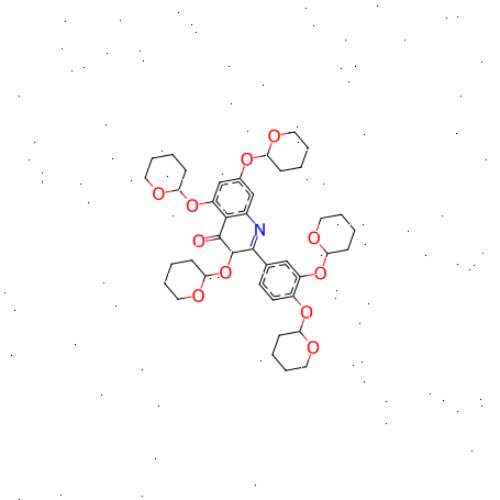 O=C1c2c(cc(OC3CCCCO3)cc2OC2CCCCO2)N=C(c2ccc(OC3CCCCO3)c(OC3CCCCO3)c2)C1OC1CCCCO1